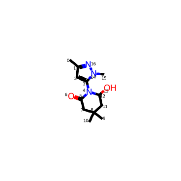 Cc1cc(N2C(=O)CC(C)(C)CC2O)n(C)n1